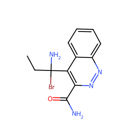 CCC(N)(Br)c1c(C(N)=O)nnc2ccccc12